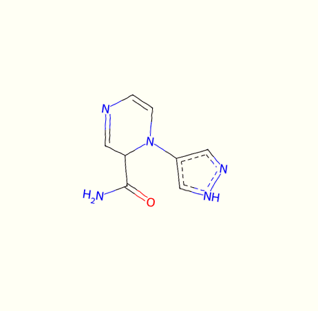 NC(=O)C1C=NC=CN1c1cn[nH]c1